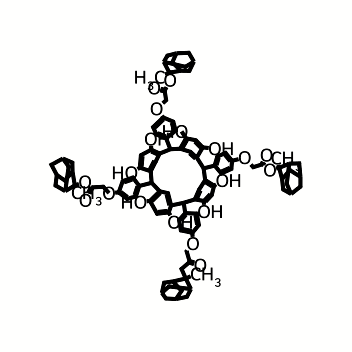 CC1(CC(=O)COc2ccc(C3c4cc(c(O)cc4O)C(c4ccc(OCC(=O)OC5(C)C6CC7CC(C6)CC5C7)cc4)c4cc(c(O)cc4O)C(c4ccc(OCC(=O)OC5(C)C6CC7CC(C6)CC5C7)cc4)c4cc(c(O)cc4O)C(c4ccc(OCC(=O)OC5(C)C6CC7CC(C6)CC5C7)cc4)c4cc3c(O)cc4O)cc2)C2CC3CC(C2)CC1C3